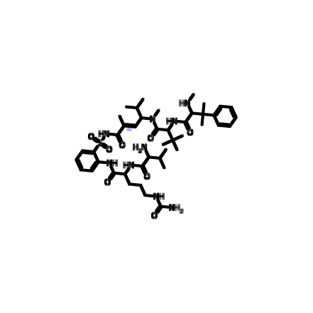 CNC(C(=O)NC(C(=O)N(C)C(/C=C(\C)C(=O)NS(=O)(=O)c1ccccc1NC(=O)C(CCCNC(N)=O)NC(=O)C(N)C(C)C)C(C)C)C(C)(C)C)C(C)(C)c1ccccc1